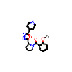 CCOc1ccccc1C(=O)N1CCCC1c1nnc(-c2ccncc2)o1